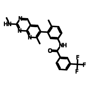 CNc1ncc2cc(-c3cc(NC(=O)c4cccc(C(F)(F)F)c4)ccc3C)c(C)nc2n1